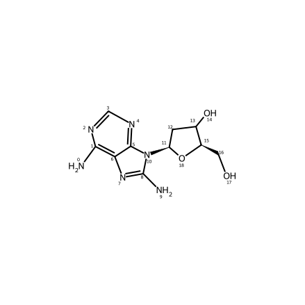 Nc1ncnc2c1nc(N)n2[C@H]1CC(O)[C@@H](CO)O1